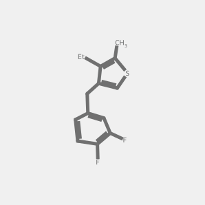 CCc1c(Cc2ccc(F)c(F)c2)csc1C